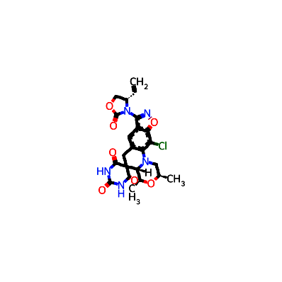 C=C[C@H]1COC(=O)N1c1noc2c(Cl)c3c(cc12)CC1(C(=O)NC(=O)NC1=O)[C@H]1[C@H](C)O[C@H](C)CN31